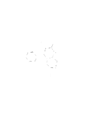 CSc1c(-c2ccccc2)c2cc(Cl)ccc2[nH]c1=O